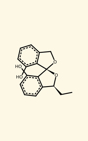 CC[C@@H]1O[C@@]2(OCc3cccc(O)c32)c2c(O)cccc21